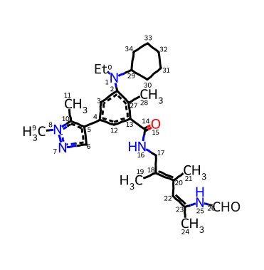 CCN(c1cc(-c2cnn(C)c2C)cc(C(=O)NC/C(C)=C(C)/C=C(/C)NC=O)c1C)C1CCCCC1